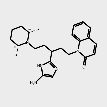 C[C@@H]1CCC[C@H](C)N1CCC(CCn1c(=O)ccc2ccccc21)c1ncc(N)[nH]1